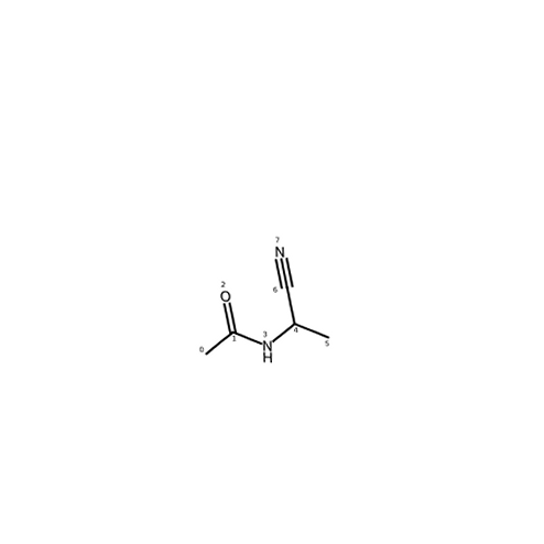 CC(=O)NC(C)C#N